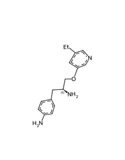 CCc1cncc(OC[C@@H](N)Cc2ccc(N)cc2)c1